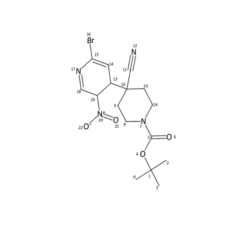 CC(C)(C)OC(=O)N1CCC(C#N)(C2C=C(Br)N=CC2[N+](=O)[O-])CC1